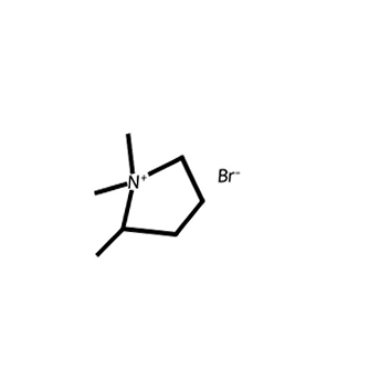 CC1CCC[N+]1(C)C.[Br-]